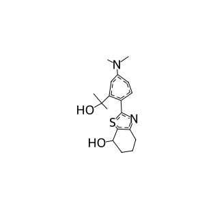 CN(C)c1ccc(-c2nc3c(s2)C(O)CCC3)c(C(C)(C)O)c1